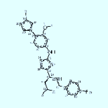 COc1cc(Nc2nc([C@H](CC(C)C)NCc3ccc(F)cc3)cs2)ccc1-n1cnc(C)c1